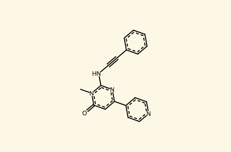 Cn1c(NC#Cc2ccccc2)nc(-c2ccncc2)cc1=O